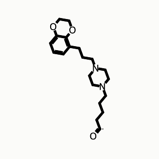 O=[C]CCCCN1CCN(CCCc2cccc3c2OCCO3)CC1